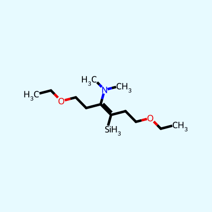 CCOCCC([SiH3])=C(CCOCC)N(C)C